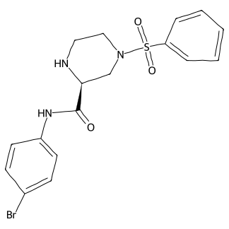 O=C(Nc1ccc(Br)cc1)[C@@H]1CN(S(=O)(=O)c2ccccc2)CCN1